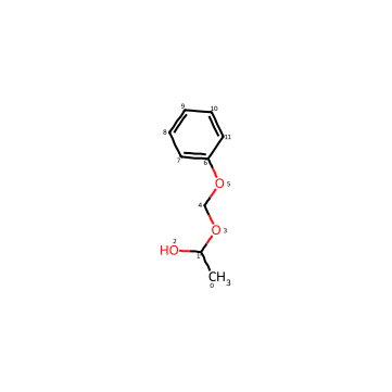 C[C](O)OCOc1ccccc1